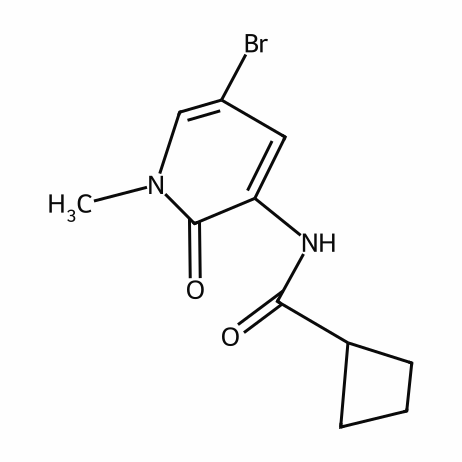 Cn1cc(Br)cc(NC(=O)C2CCC2)c1=O